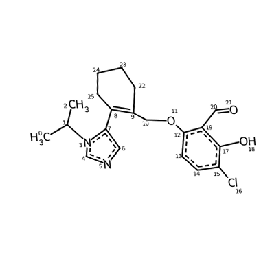 CC(C)n1cncc1C1=C(COc2ccc(Cl)c(O)c2C=O)CCCC1